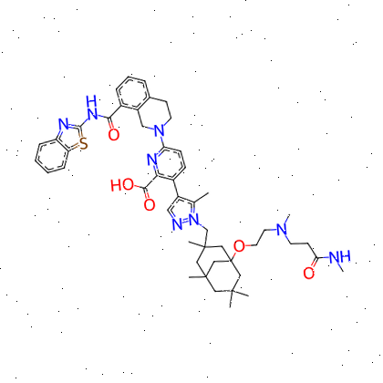 CNC(=O)CCN(C)CCOC12CC(C)(C)CC(C)(CC(C)(Cn3ncc(-c4ccc(N5CCc6cccc(C(=O)Nc7nc8ccccc8s7)c6C5)nc4C(=O)O)c3C)C1)C2